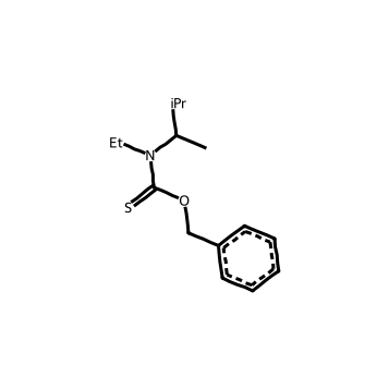 CCN(C(=S)OCc1ccccc1)C(C)C(C)C